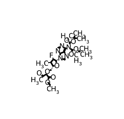 CCOC(=O)C(OC[C@H]1O[C@@H](n2cnc3c(N(C(=O)OC(C)(C)C)C(=O)OC(C)(C)C)ncnc32)[C@H](F)[C@@H]1C)C(C)=O